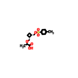 Cc1ccc(S(=O)(=O)OC[C@H]2CC[C@H]2COC(C)C(=O)O)cc1